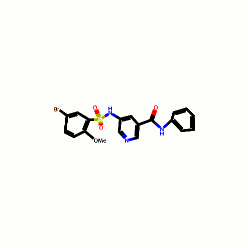 COc1ccc(Br)cc1S(=O)(=O)Nc1cncc(C(=O)Nc2ccccc2)c1